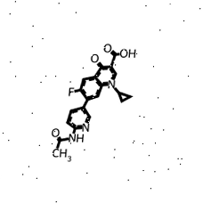 CC(=O)Nc1ccc(-c2cc3c(cc2F)c(=O)c(C(=O)O)cn3C2CC2)cn1